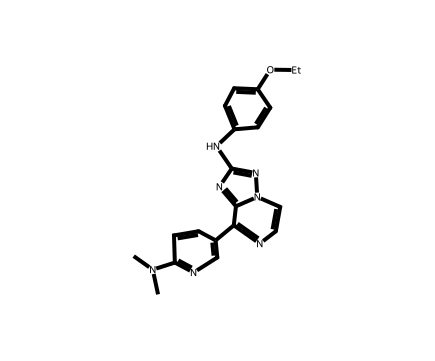 CCOc1ccc(Nc2nc3c(-c4ccc(N(C)C)nc4)nccn3n2)cc1